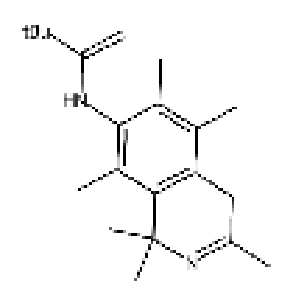 C=C(Nc1c(C)c(C)c2c(c1C)C(C)(C)N=C(C)C2)C(C)(C)C